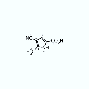 Cc1[nH]c(C(=O)O)cc1C#N